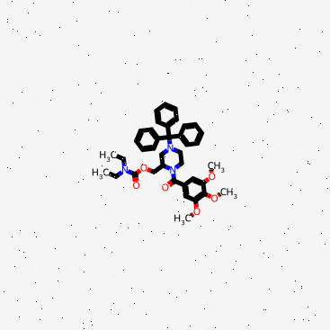 CCN(CC)C(=O)OCC1CN(C(c2ccccc2)(c2ccccc2)c2ccccc2)CCN1C(=O)c1cc(OC)c(OC)c(OC)c1